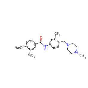 COc1ccc(C(=O)Nc2ccc(CN3CCN(C)CC3)c(C(F)(F)F)c2)cc1[N+](=O)[O-]